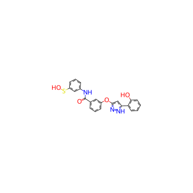 O=C(Nc1cccc(SO)c1)c1cccc(Oc2cc(-c3ccccc3O)[nH]n2)c1